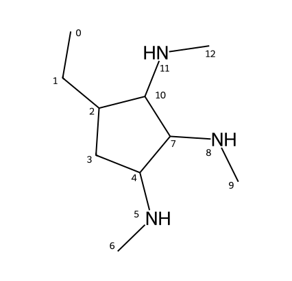 CCC1CC(NC)C(NC)C1NC